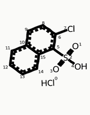 Cl.O=S(=O)(O)c1c(Cl)ccc2ccccc12